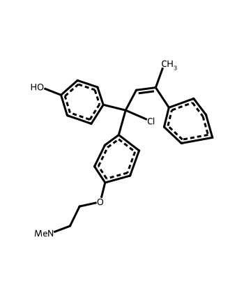 CNCCOc1ccc(C(Cl)(C=C(C)c2ccccc2)c2ccc(O)cc2)cc1